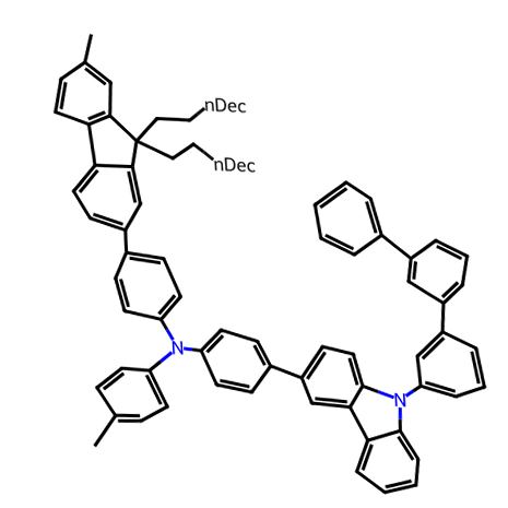 CCCCCCCCCCCCC1(CCCCCCCCCCCC)c2cc(C)ccc2-c2ccc(-c3ccc(N(c4ccc(C)cc4)c4ccc(-c5ccc6c(c5)c5ccccc5n6-c5cccc(-c6cccc(-c7ccccc7)c6)c5)cc4)cc3)cc21